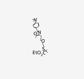 CCOC(=O)C(C)(C)SCCOCCc1nc(-c2ccc(N(C)C)cc2)oc1C